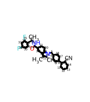 Cc1c(C)n(Cc2ccc(-c3ccccc3C#N)cc2)c2ccc(C(=O)N[C@@H](C)c3ccc(F)cc3F)cc12